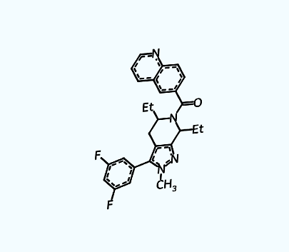 CCC1Cc2c(nn(C)c2-c2cc(F)cc(F)c2)C(CC)N1C(=O)c1ccc2ncccc2c1